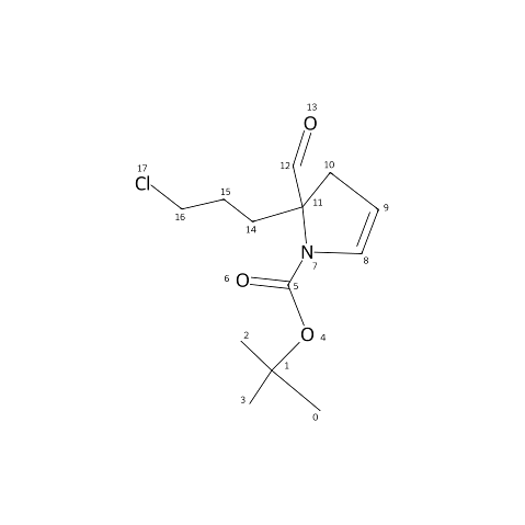 CC(C)(C)OC(=O)N1C=CCC1(C=O)CCCCl